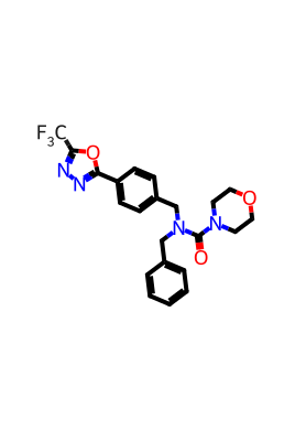 O=C(N1CCOCC1)N(Cc1ccccc1)Cc1ccc(-c2nnc(C(F)(F)F)o2)cc1